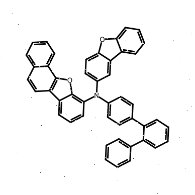 c1ccc(-c2ccccc2-c2ccc(N(c3ccc4oc5ccccc5c4c3)c3cccc4c3oc3c5ccccc5ccc43)cc2)cc1